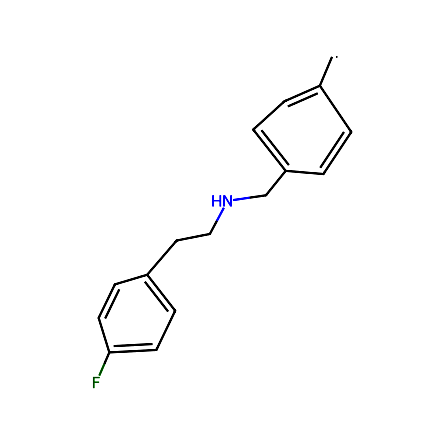 [CH2]c1ccc(CNCCc2ccc(F)cc2)cc1